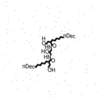 CCCCCCCCCCCCCCCCC(CCO)C(=O)NCC(O)CNC(=O)C(CCO)CCCCCCCCCCCCCCCC